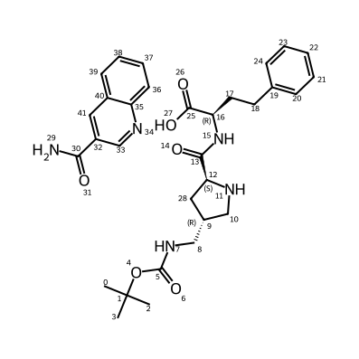 CC(C)(C)OC(=O)NC[C@H]1CN[C@H](C(=O)N[C@H](CCc2ccccc2)C(=O)O)C1.NC(=O)c1cnc2ccccc2c1